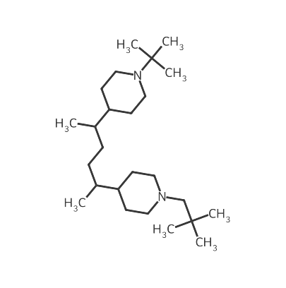 CC(CCC(C)C1CCN(C(C)(C)C)CC1)C1CCN(CC(C)(C)C)CC1